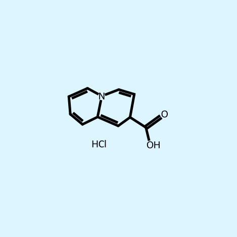 Cl.O=C(O)C1C=CN2C=CC=CC2=C1